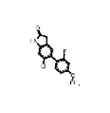 COc1ccc(-c2cc3c(cc2Cl)NC(=O)C3)c(F)c1